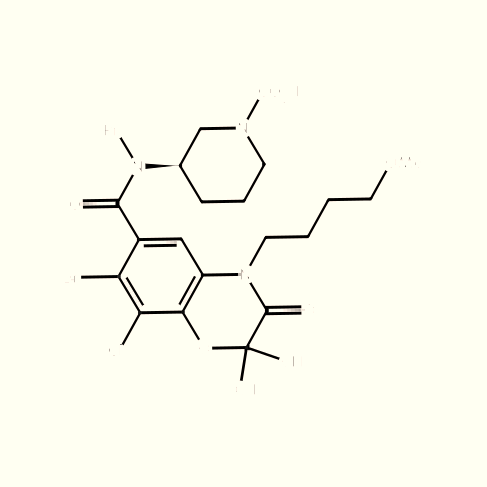 COCCCCN1C(=O)C(C)(C)Oc2c1cc(C(=O)N(C(C)C)[C@@H]1CCCN(C(=O)O)C1)c(Br)c2Cl